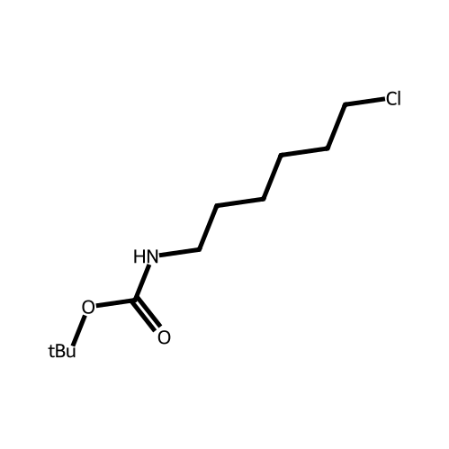 CC(C)(C)OC(=O)NCCCCCCCl